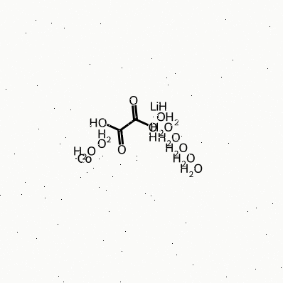 O.O.O.O.O.O.O.O.O=C(O)C(=O)O.[Co].[LiH]